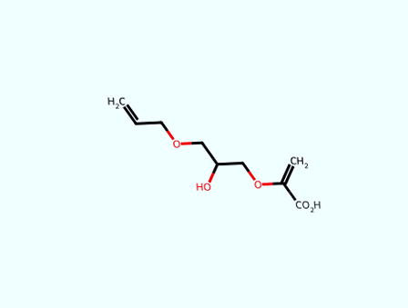 C=CCOCC(O)COC(=C)C(=O)O